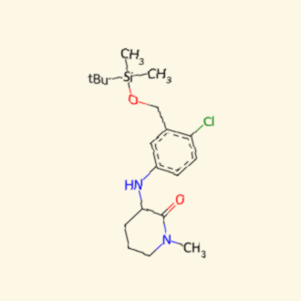 CN1CCCC(Nc2ccc(Cl)c(CO[Si](C)(C)C(C)(C)C)c2)C1=O